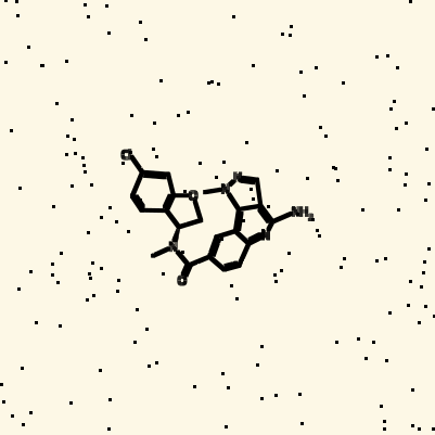 CN(C(=O)c1ccc2nc(N)c3cnn(C)c3c2c1)[C@@H]1COc2cc(Cl)ccc21